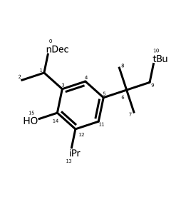 CCCCCCCCCCC(C)c1cc(C(C)(C)CC(C)(C)C)cc(C(C)C)c1O